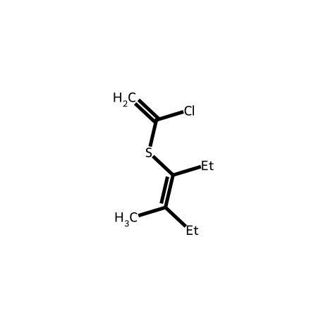 C=C(Cl)S/C(CC)=C(\C)CC